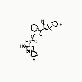 CC(C)(C=C(C#N)C(=O)N1CCCC[C@@H]1COC(=O)N[C@@H](Cc1ccc(F)cc1)B(O)O)N1CC[C@H](F)C1